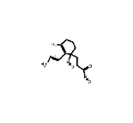 C/C=C/C1=C(O)CCCC1(CCC(=O)N=O)N=O